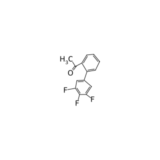 CC(=O)c1ccccc1-c1cc(F)c(F)c(F)c1